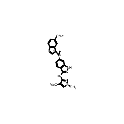 COc1ccc2c(c1)[C@@]1(C=N2)C[C@H]1c1ccc2c(Nc3nn(C)cc3OC)n[nH]c2c1